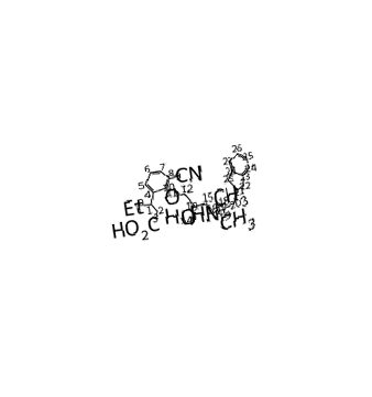 CCC(CC(=O)O)c1cccc(C#N)c1OCC(O)CNC(C)(C)CC1Cc2ccccc2C1